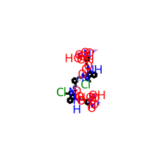 O=C(Nc1cc2c(c3ccccc13)C(CCl)CN2C(=O)/C=C/c1cccc(/C=C/C(=O)N2CC(CCl)c3c2cc(NC(=O)OCc2ccc([N+](=O)[O-])c(OP(=O)(O)O)c2)c2ccccc32)c1)OCc1ccc([N+](=O)[O-])c(OP(=O)(O)O)c1